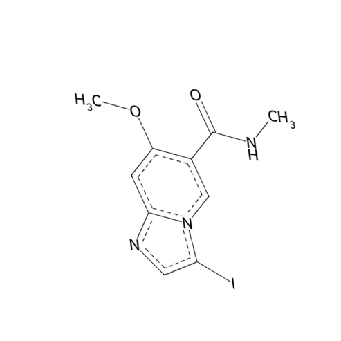 CNC(=O)c1cn2c(I)cnc2cc1OC